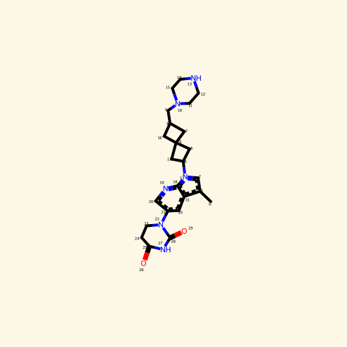 Cc1cn(C2CC3(CC(CN4CCNCC4)C3)C2)c2ncc(N3CCC(=O)NC3=O)cc12